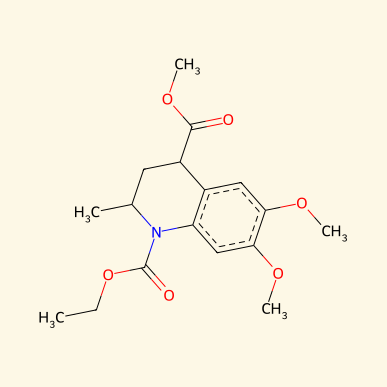 CCOC(=O)N1c2cc(OC)c(OC)cc2C(C(=O)OC)CC1C